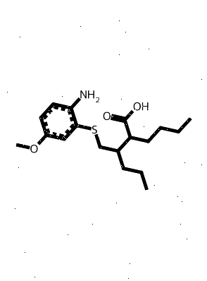 CCCCC(C(=O)O)C(CCC)CSc1cc(OC)ccc1N